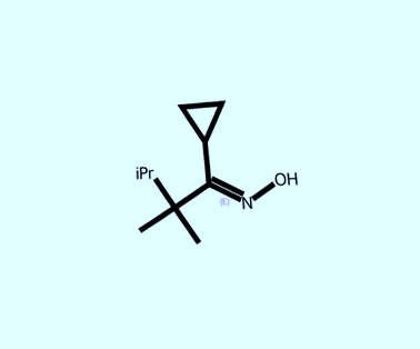 CC(C)C(C)(C)/C(=N/O)C1CC1